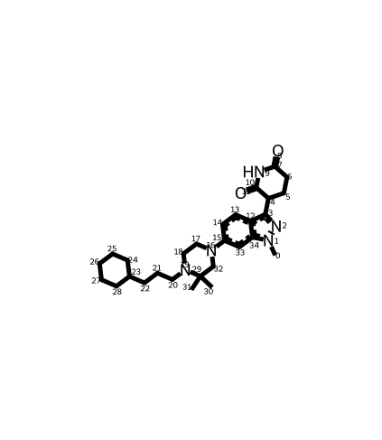 Cn1nc(C2CCC(=O)NC2=O)c2ccc(N3CCN(CCCC4CCCCC4)C(C)(C)C3)cc21